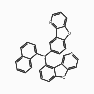 c1ccc2c(N(c3ccc4oc5cccnc5c4c3)c3cccc4oc5ccncc5c34)cccc2c1